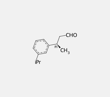 CC(C)c1cccc([C@H](C)CC=O)c1